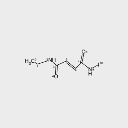 CCNC(=O)/C=C/C(=O)NI